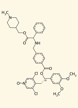 COc1ccc([C@H](Cc2c(Cl)c[n+]([O-])cc2Cl)OC(=O)c2ccc(CNC(C(=O)OCC3CCN(C)CC3)c3ccccc3)cc2)cc1OC